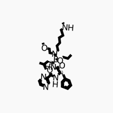 CCCOB([C@H](CC(C)C)NC(=O)[C@H](Cc1ccccc1)NC(=O)c1cnccn1)N(CCCCCCNC)CCOC